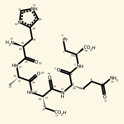 CC(C)C[C@H](NC(=O)[C@H](CCC(N)=O)NC(=O)[C@H](CC(=O)O)NC(=O)[C@H](C)NC(=O)[C@@H](N)Cc1c[nH]cn1)C(=O)O